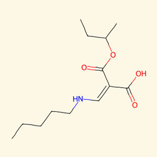 CCCCCNC=C(C(=O)O)C(=O)OC(C)CC